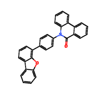 O=c1c2ccccc2c2ccccc2n1-c1ccc(-c2cccc3c2oc2ccccc23)cc1